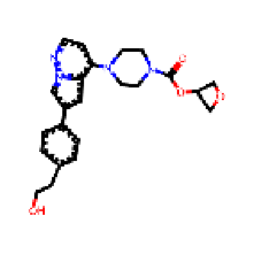 O=C(OC1COC1)N1CCN(c2ccnn3cc(-c4ccc(CCO)cc4)cc23)CC1